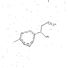 CCCC(CC(=O)O)c1ccc(C)cc1